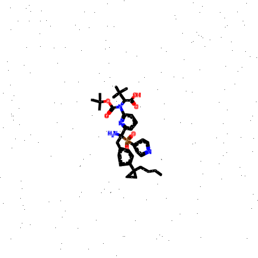 CCCCC1(c2ccc(CC(N)(c3cccc(N(C(=O)OC(C)(C)C)C(C(=O)O)C(C)(C)C)n3)S(=O)(=O)c3ccncc3)cc2)CC1